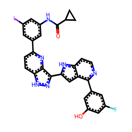 O=C(Nc1cc(I)cc(-c2ccc3[nH]nc(-c4cc5c(-c6cc(O)cc(F)c6)nccc5[nH]4)c3n2)c1)C1CC1